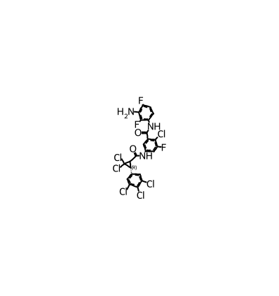 Nc1c(F)ccc(NC(=O)c2cc(NC(=O)C3[C@H](c4cc(Cl)c(Cl)c(Cl)c4)C3(Cl)Cl)cc(F)c2Cl)c1F